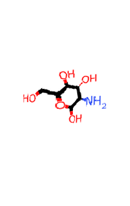 N[C@H]1C(O)OC(CO)C(O)[C@@H]1O